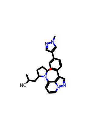 CC(C#N)CC1CCC(C)N1c1cccn2ncc(-c3ccc(-c4cnn(C)c4)cc3)c12